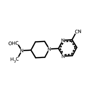 CN(C=O)C1CCN(c2nccc(C#N)n2)CC1